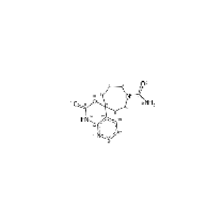 NC(=O)N1CCCC2(CC1)OC(=O)Nc1ncccc12